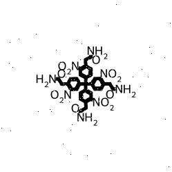 NC(=O)Cc1ccc(C(c2ccc(CC(N)=O)c([N+](=O)[O-])c2)(c2ccc(CC(N)=O)c([N+](=O)[O-])c2)c2ccc(CC(N)=O)c([N+](=O)[O-])c2)cc1[N+](=O)[O-]